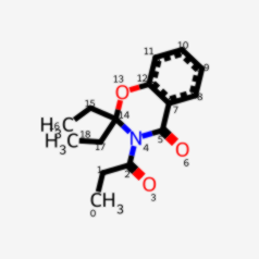 CCC(=O)N1C(=O)c2ccccc2OC1(CC)CC